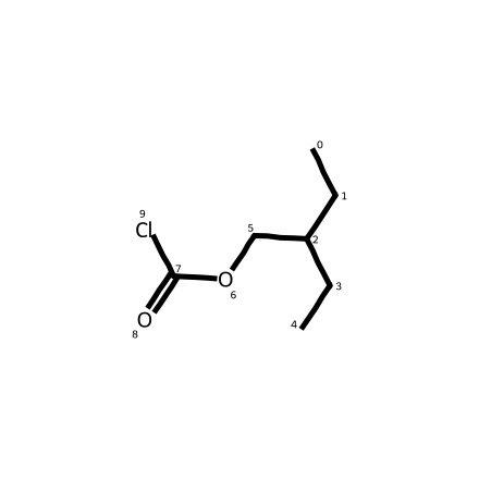 CCC(CC)COC(=O)Cl